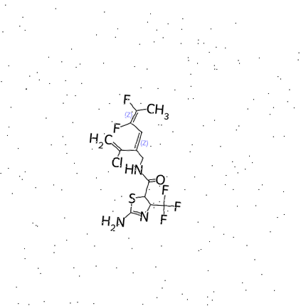 C=C(Cl)/C(=C\C(F)=C(/C)F)CNC(=O)C1SC(N)=NC1C(F)(F)F